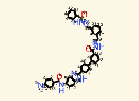 CN(C)c1ccc(C(=O)Nc2ccc3[nH]c(-c4ccc(-c5cccc(C(=O)N/N=C/c6cccc(/C=N/NC(=O)c7ccccc7)c6)c5)cc4)nc3c2)cc1